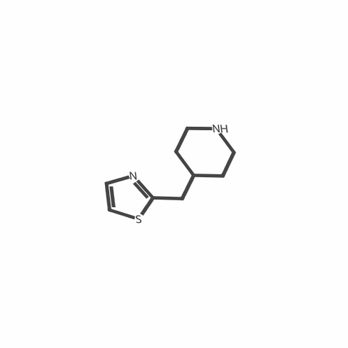 c1csc(CC2CCNCC2)n1